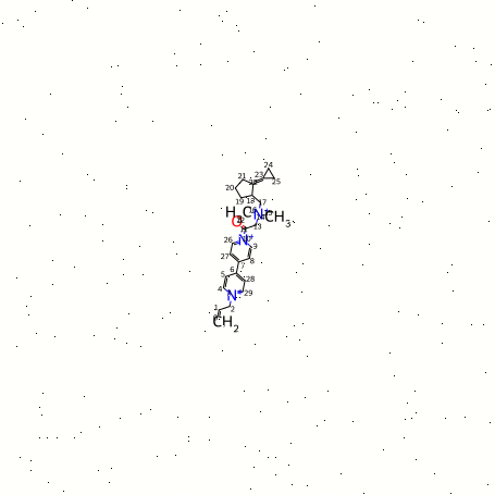 C=CC[n+]1ccc(-c2cc[n+](C(=O)C[N+](C)(C)CC3CCCC3=C3CC3)cc2)cc1